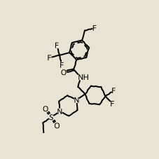 CCS(=O)(=O)N1CCN(C2(CNC(=O)c3ccc(CF)cc3C(F)(F)F)CCC(F)(F)CC2)CC1